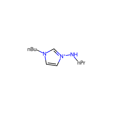 CCCCn1cc[n+](NCCC)c1